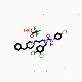 O=C(Nc1ccc(Cl)cc1)N(CCCN1CCC(Cc2ccccc2)CC1)Cc1ccc(Cl)c(Cl)c1.O=C(O)C(F)(F)F